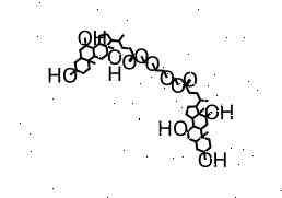 CC(CCC(=O)OCOCCOCOC(=O)CCC(C)C1CCC2C3C(O)CC4CC(O)CCC4(C)C3CC(O)C12C)C1CCC2C3C(O)CC4CC(O)CCC4(C)C3CC(O)C12C